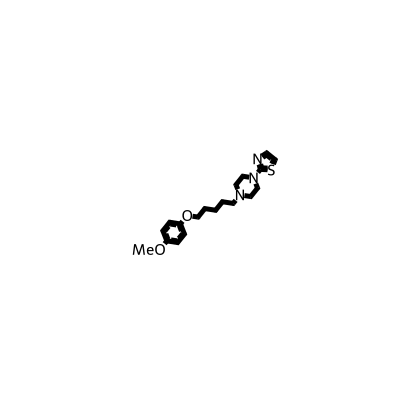 COc1ccc(OCCCCCN2CCN(c3nccs3)CC2)cc1